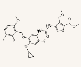 COCc1c(NC(=O)Nc2cc(OCc3c(OC)ccc(F)c3F)c(OC3CC3)cc2F)csc1C(=O)OC